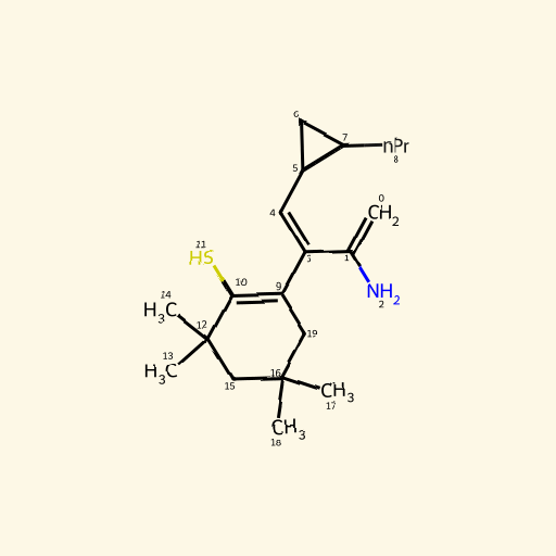 C=C(N)/C(=C\C1CC1CCC)C1=C(S)C(C)(C)CC(C)(C)C1